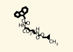 CC1=CC1COC(=O)NCCCC[C@H](NC(=O)OCC1c2ccccc2-c2ccccc21)C(=O)O